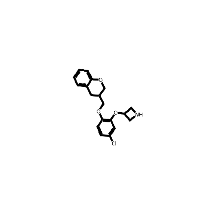 Clc1ccc(OCC2COc3ccccc3C2)c(OC2CNC2)c1